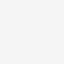 CSc1ccc(N(CC(=O)OC(C)(C)C)S(C)(=O)=O)cc1